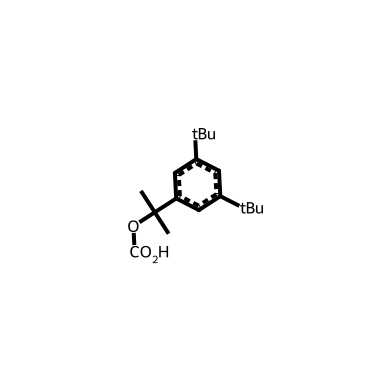 CC(C)(C)c1cc(C(C)(C)C)cc(C(C)(C)OC(=O)O)c1